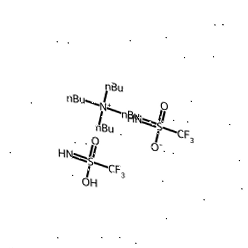 CCCC[N+](CCCC)(CCCC)CCCC.N=S(=O)(O)C(F)(F)F.N=S(=O)([O-])C(F)(F)F